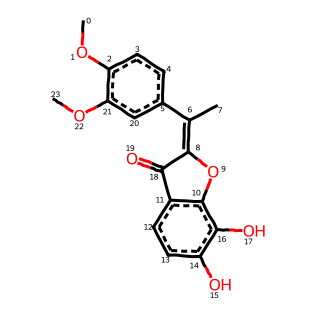 COc1ccc(C(C)=C2Oc3c(ccc(O)c3O)C2=O)cc1OC